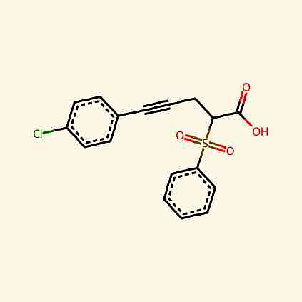 O=C(O)C(CC#Cc1ccc(Cl)cc1)S(=O)(=O)c1ccccc1